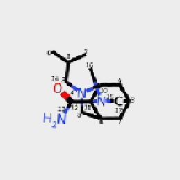 CC(C)CN1CC2CC3CC1C2(C(N)=O)N(C)C3